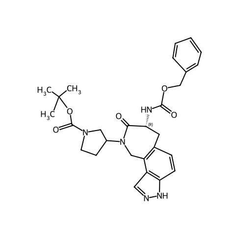 CC(C)(C)OC(=O)N1CCC(N2Cc3c(ccc4[nH]ncc34)C[C@@H](NC(=O)OCc3ccccc3)C2=O)C1